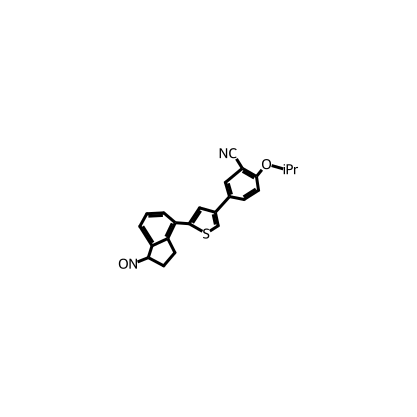 CC(C)Oc1ccc(-c2csc(-c3cccc4c3CCC4N=O)c2)cc1C#N